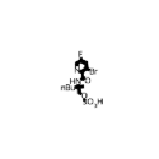 CCCCC(C)(COS(=O)(=O)O)NC(=O)c1ncc(F)cc1Br